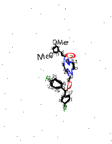 COc1cc(C=CC(=O)N2CCN(CCOC(c3ccc(F)cc3)c3ccc(F)cc3)CC2)cc(OC)c1